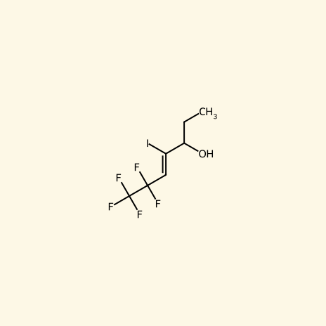 CCC(O)/C(I)=C/C(F)(F)C(F)(F)F